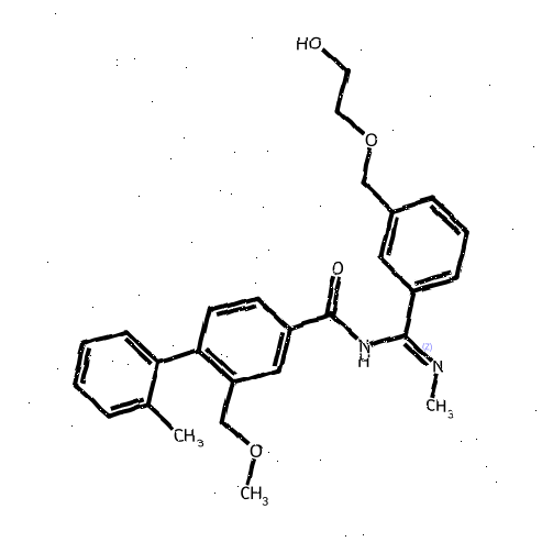 C/N=C(\NC(=O)c1ccc(-c2ccccc2C)c(COC)c1)c1cccc(COCCO)c1